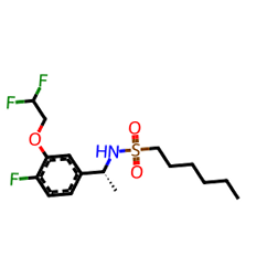 CCCCCCS(=O)(=O)N[C@H](C)c1ccc(F)c(OCC(F)F)c1